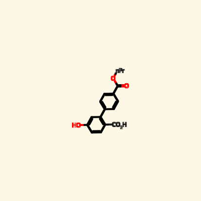 CCCOC(=O)c1ccc(-c2cc(O)ccc2C(=O)O)cc1